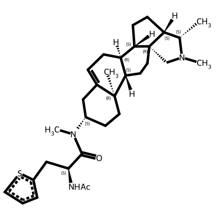 CC(=O)N[C@@H](Cc1cccs1)C(=O)N(C)[C@H]1CC[C@@]2(C)C(=CC[C@H]3[C@@H]4CC[C@@H]5[C@H](C)N(C)C[C@@]54CC[C@@H]32)C1